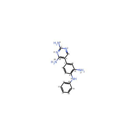 Nc1ncc(-c2ccc(Nc3ccccc3)c(N)c2)c(N)n1